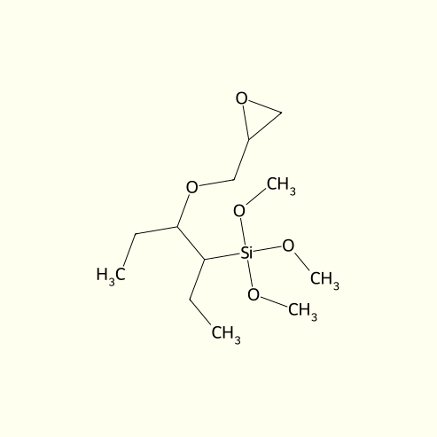 CCC(OCC1CO1)C(CC)[Si](OC)(OC)OC